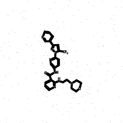 O=C(Nc1ccc(-n2nc(-c3cccnc3)cc2C(F)(F)F)nc1)c1cccnc1NCCN1CCOCC1